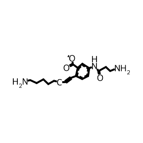 COC(=O)c1cc(NC(=O)CCN)ccc1C#CCCCCCCN